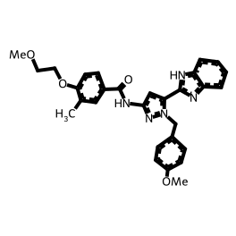 COCCOc1ccc(C(=O)Nc2cc(-c3nc4ccccc4[nH]3)n(Cc3ccc(OC)cc3)n2)cc1C